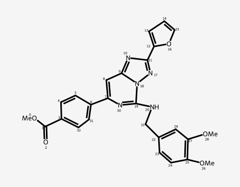 COC(=O)c1ccc(-c2cc3nc(-c4ccco4)nn3c(NCc3ccc(OC)c(OC)c3)n2)cc1